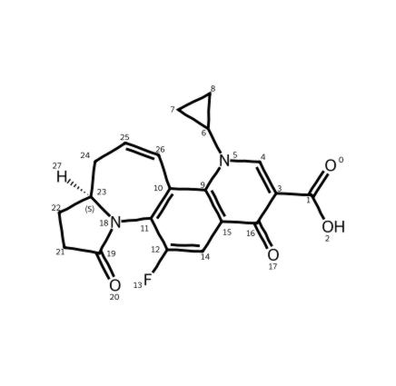 O=C(O)c1cn(C2CC2)c2c3c(c(F)cc2c1=O)N1C(=O)CC[C@H]1CC=C3